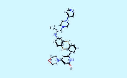 CC(CN1CCN(c2ccncc2)CC1)Nc1ccc2c(c1)Sc1cccc(-c3cc(N4CCOCC4)cc(=O)[nH]3)c1S2